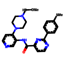 COBN1CCN(c2ccncc2NC(=O)c2ccnc(-c3ccc(SC)cc3)n2)CC1